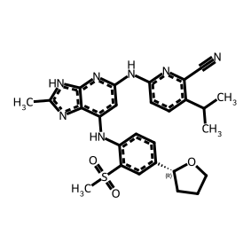 Cc1nc2c(Nc3ccc([C@H]4CCCO4)cc3S(C)(=O)=O)cc(Nc3ccc(C(C)C)c(C#N)n3)nc2[nH]1